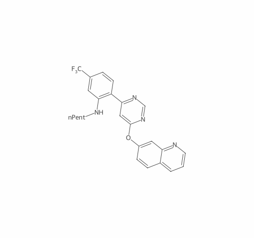 CCCCCNc1cc(C(F)(F)F)ccc1-c1cc(Oc2ccc3cccnc3c2)ncn1